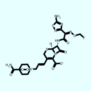 NC(=O)C12CC[N+](C/C=C/C3=C(C(=O)[O-])N4C(=O)[C@@H](NC(=O)/C(=N\OCF)c5nsc(N)n5)[C@@H]4SC3)(CC1)CC2